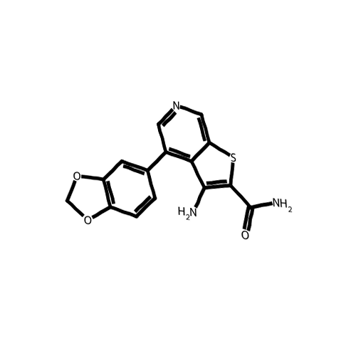 NC(=O)c1sc2cncc(-c3ccc4c(c3)OCO4)c2c1N